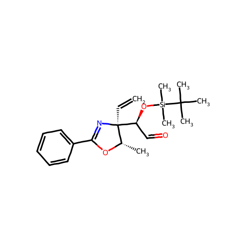 C=C[C@@]1([C@H](C=O)O[Si](C)(C)C(C)(C)C)N=C(c2ccccc2)O[C@H]1C